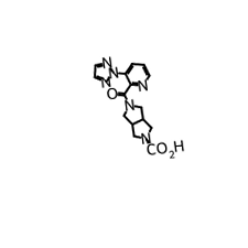 O=C(O)N1CC2CN(C(=O)c3ncccc3-n3nccn3)CC2C1